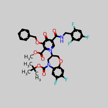 COC(=O)c1c(OCc2ccccc2)c(=O)c(C(=O)NCc2c(F)cc(F)cc2F)cn1C1COc2cc(F)c(F)cc2N(C(=O)OC(C)(C)C)C1